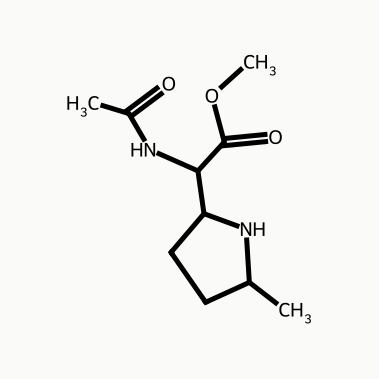 COC(=O)C(NC(C)=O)C1CCC(C)N1